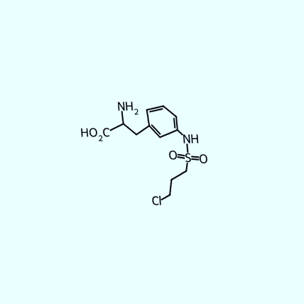 NC(Cc1cccc(NS(=O)(=O)CCCCl)c1)C(=O)O